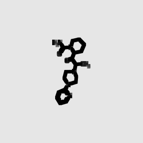 CC(C(=O)C1CCCCN1C(N)=O)N1CCN(c2ccccn2)CC1